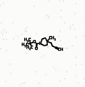 C#CCCC1(C)CCN(C(=O)OC(C)(C)C)CC1